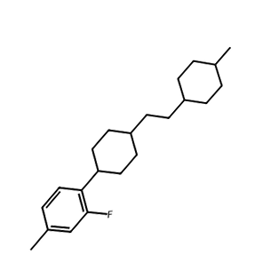 Cc1ccc(C2CCC(CCC3CCC(C)CC3)CC2)c(F)c1